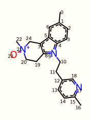 Cc1ccc2c(c1)c1c(n2CCc2ccc(C)nc2)CC[N+](C)([O-])C1